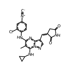 [C-]#[N+]c1ccc(Nc2nc3c(/C=C4/CC(=O)NC4=O)cnn3c(NC3CC3)c2C)c(Cl)c1